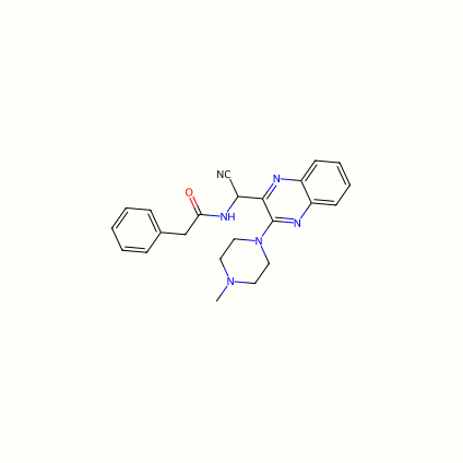 CN1CCN(c2nc3ccccc3nc2C(C#N)NC(=O)Cc2ccccc2)CC1